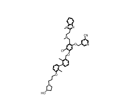 Cc1c(COc2cc(OCc3cncc(C#N)c3)c(CN(C)CCc3nc4ccccc4n3C)cc2Cl)cccc1-c1cccc(OCCCN2CC[C@@H](O)C2)c1C